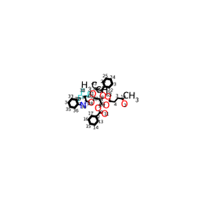 CC(=O)CCC(=O)O[C@H](OC(=O)c1ccccc1)C(OCc1ccccc1)[C@H](O/C(=N/c1ccccc1)C(F)(F)F)OC(C)C